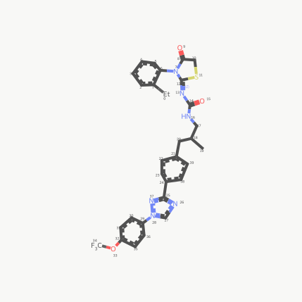 CCc1ccccc1N1C(=O)CS/C1=N\C(=O)NCC(C)Cc1ccc(-c2ncn(-c3ccc(OC(F)(F)F)cc3)n2)cc1